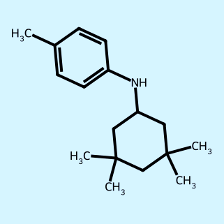 Cc1ccc(NC2CC(C)(C)CC(C)(C)C2)cc1